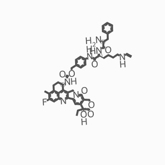 C=CNCCCC[C@H](NC(=O)[C@@H](N)Cc1ccccc1)C(=O)Nc1ccc(COC(=O)N[C@H]2CCc3c(C)c(F)cc4nc5c(c2c34)Cn2c-5cc3c(c2=O)COC(=O)[C@]3(O)CC)cc1